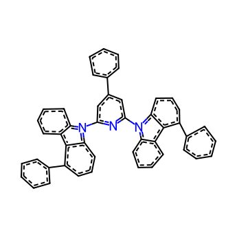 c1ccc(-c2cc(-n3c4ccccc4c4c(-c5ccccc5)cccc43)nc(-n3c4ccccc4c4c(-c5ccccc5)cccc43)c2)cc1